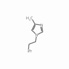 Cc1cn(CCC(C)C)cn1